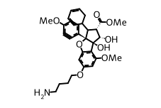 COC(=O)[C@H]1C(C2C=CC=CC2)[C@@]2(c3c#cc(OC)cc3)Oc3cc(OCCCCN)cc(OC)c3[C@@]2(O)[C@H]1O